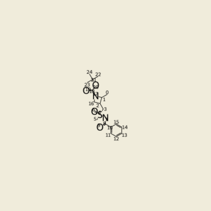 CC1C(CS(C)(=O)=NC(=O)c2ccccc2)CN1C(=O)OC(C)(C)C